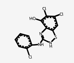 Oc1c(Cl)c(Cl)cc2c1N=C(Nc1ccccc1Cl)NS2